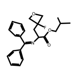 CC(C)COC(=O)C(CC1(F)COC1)N=C(c1ccccc1)c1ccccc1